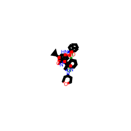 O=C(Nc1cccc(-c2cnn(C3CCOCC3)c2)c1)C1C2CC(OCc3c(-c4c(Cl)cccc4Cl)noc3C3CC3)CC1C2